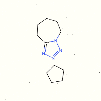 C1CCCC1.C1CCc2nnnn2CC1